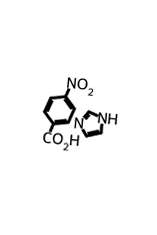 O=C(O)c1ccc([N+](=O)[O-])cc1.c1c[nH]cn1